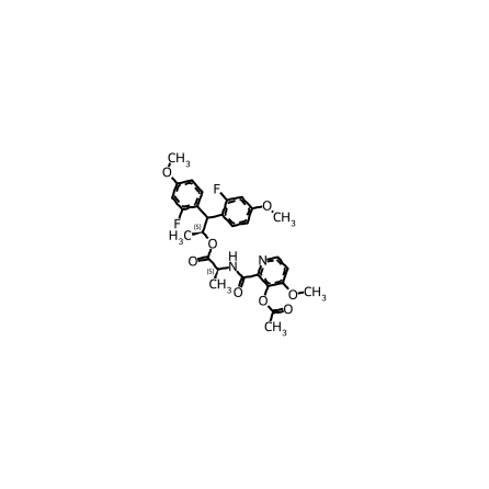 COc1ccc(C(c2ccc(OC)cc2F)[C@H](C)OC(=O)[C@H](C)NC(=O)c2nccc(OC)c2OC(C)=O)c(F)c1